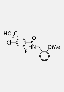 COc1ccccc1CNC(=O)c1cc(C(=O)O)c(Cl)cc1F